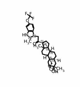 COC[C@]12CC[C@@](C)(O)C[C@@H]1CC[C@H]1[C@@H]3CC[C@H](C(=O)CN4c5ccc(OC(F)(F)F)cc5NN4C)[C@@]3(C)CC[C@@H]12